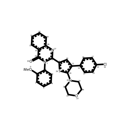 COc1ccccc1-n1c(-c2cc(-c3ccc(Cl)cc3)c(N3CCOCC3)s2)nc2ccccc2c1=O